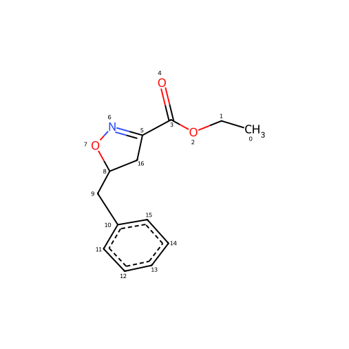 CCOC(=O)C1=NOC(Cc2ccccc2)C1